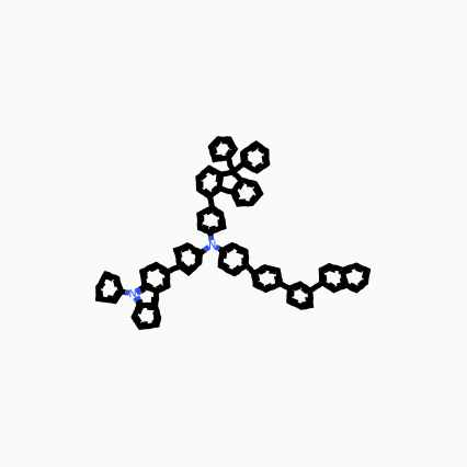 c1ccc(-n2c3ccccc3c3cc(-c4ccc(N(c5ccc(-c6ccc(-c7cccc(-c8ccc9ccccc9c8)c7)cc6)cc5)c5ccc(-c6cccc7c6-c6ccccc6C7(c6ccccc6)c6ccccc6)cc5)cc4)ccc32)cc1